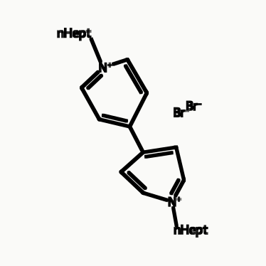 CCCCCCC[n+]1ccc(-c2cc[n+](CCCCCCC)cc2)cc1.[Br-].[Br-]